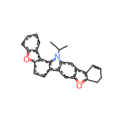 CC(C)n1c2cc3c4c(oc3cc2c2ccc3oc5ccccc5c3c21)CCC=C4